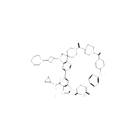 CC(C)n1cnc2cc(-c3ccc4c(c3)N(C3CC(N5CCCCC5)C3)C(=O)C43CCN(C(=O)C4CCN(C(=O)C5CCC(Nc6ccc([C@H]7CCC(=O)NC7=O)cc6)CC5)CC4)CC3)nc(NC3CC3)c21